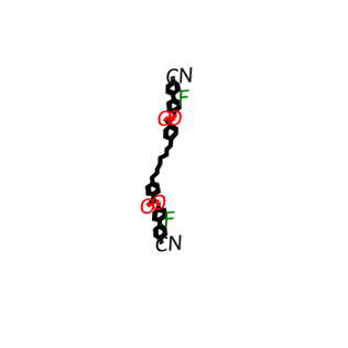 N#Cc1ccc(-c2ccc(OC(=O)c3ccc(CCCCCCCCc4ccc(C(=O)Oc5ccc(-c6ccc(C#N)cc6)c(F)c5)cc4)cc3)cc2F)cc1